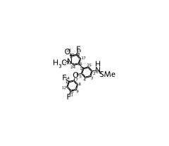 CSNc1ccc(Oc2ccc(F)cc2F)c(-c2cc(F)c(=O)n(C)c2)c1